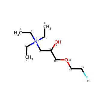 CC[N+](CC)(CC)CC(O)COCCF